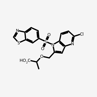 CC(OCc1cc2nc(Cl)ccc2n1S(=O)(=O)c1ccc2ncsc2c1)C(=O)O